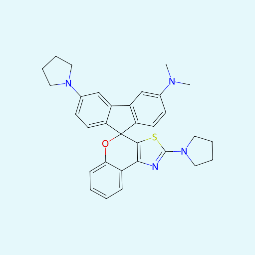 CN(C)c1ccc2c(c1)-c1cc(N3CCCC3)ccc1C21Oc2ccccc2-c2nc(N3CCCC3)sc21